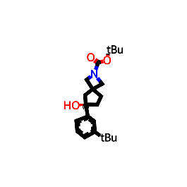 CC(C)(C)OC(=O)N1CC2(CC[C@](O)(c3cccc(C(C)(C)C)c3)C2)C1